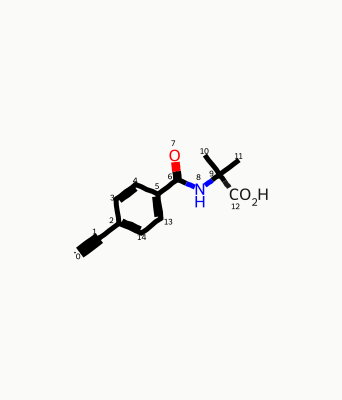 [C]#Cc1ccc(C(=O)NC(C)(C)C(=O)O)cc1